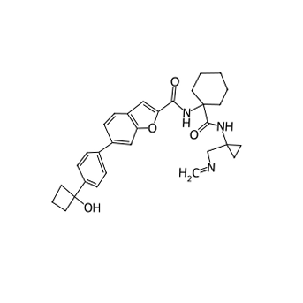 C=NCC1(NC(=O)C2(NC(=O)c3cc4ccc(-c5ccc(C6(O)CCC6)cc5)cc4o3)CCCCC2)CC1